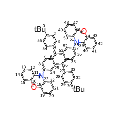 CC(C)(C)c1ccc(-c2c3ccc(N4c5ccccc5Oc5ccccc54)cc3c(-c3ccc(C(C)(C)C)cc3)c3ccc(N4c5ccccc5Oc5ccccc54)cc23)cc1